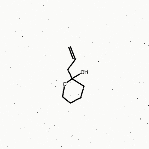 C=CCC1(O)CCCCO1